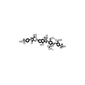 COc1cc(/N=N/c2ccc(S(=O)(=O)O)cc2C(=O)O)c(NC(C)=O)cc1/N=N/c1c(S(=O)(=O)O)cc2cc(/N=N/C3C(=O)N(c4ccc(S(=O)(=O)O)cc4)N=C3C(=O)O)ccc2c1O